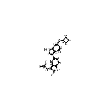 Cc1nc2ccc(-c3c[nH]c4nc(CC5CCC5)ncc34)nc2n1CC(F)F